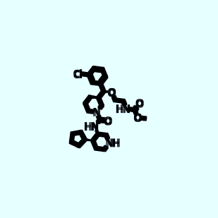 COC(=O)NCCO[C@@H](c1cccc(Cl)c1)[C@@H]1CCCN(C(=O)N[C@H]2CNCC[C@@H]2C2CCCC2)C1